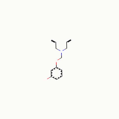 C=CCN(CC=C)COc1cccc(O)c1